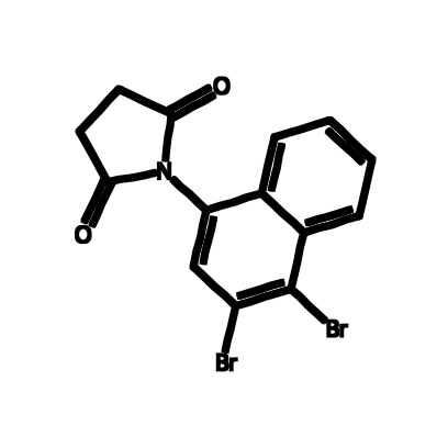 O=C1CCC(=O)N1c1cc(Br)c(Br)c2ccccc12